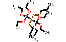 CCCSSS(SCCC)([Si](OCC)(OCC)OCC)[Si](OCC)(OCC)OCC